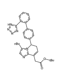 CCCCc1cnc2n1C(c1ccc(-c3ccccc3-c3nnn[nH]3)cc1)CC=C2CC(=O)OC(C)(C)C